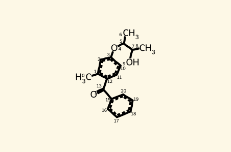 Cc1cc(OC(C)C(C)O)ccc1C(=O)c1ccccc1